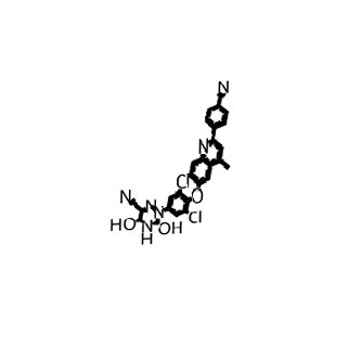 Cc1cc(-c2ccc(C#N)cc2)nc2ccc(Oc3c(Cl)cc(N4N=C(C#N)C(O)NC4O)cc3Cl)cc12